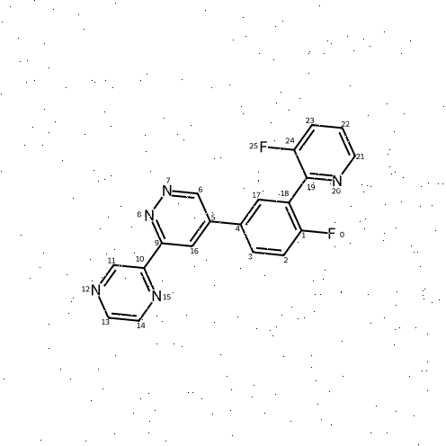 Fc1ccc(-c2cnnc(-c3cnccn3)c2)cc1-c1ncccc1F